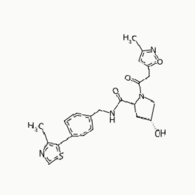 Cc1cc(CC(=O)N2C[C@H](O)CC2C(=O)NCc2ccc(-c3scnc3C)cc2)on1